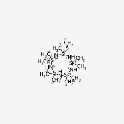 C=C[Si]1(C)N[Si](C)(C)N[Si](C)(C)N[Si](C)(C)N[Si](C)(C)N1